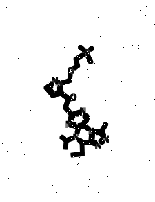 CCC1c2nnc(C)n2-c2cnc(CC(=O)c3ccnn3COCC[Si](C)(C)C)nc2N1C(C)C